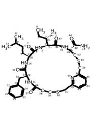 CC[C@H](C)[C@@H]1NC(=O)[C@H](CCC(C)C)NC(=O)[C@H](Cc2ccccc2)NC(=O)CCSCc2cccc(n2)CSC[C@@H](C(N)=O)NC1=O